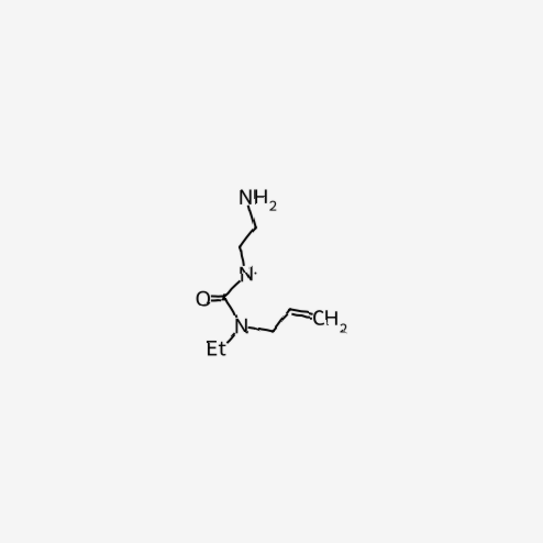 [CH2]CN(CC=C)C(=O)[N]CCN